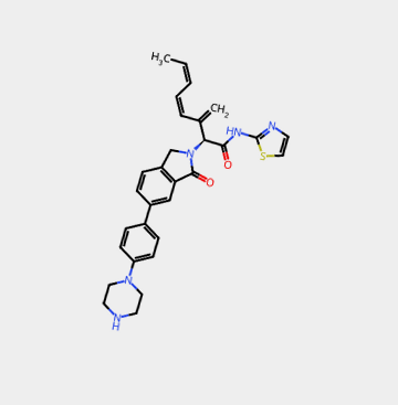 C=C(/C=C\C=C/C)[C@@H](C(=O)Nc1nccs1)N1Cc2ccc(-c3ccc(N4CCNCC4)cc3)cc2C1=O